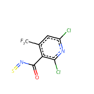 O=C(N=S)c1c(C(F)(F)F)cc(Cl)nc1Cl